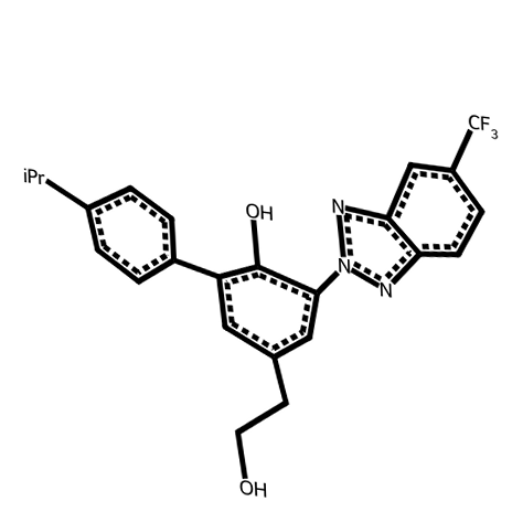 CC(C)c1ccc(-c2cc(CCO)cc(-n3nc4ccc(C(F)(F)F)cc4n3)c2O)cc1